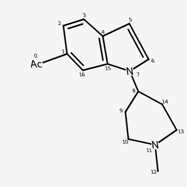 CC(=O)c1ccc2ccn(C3CCN(C)CC3)c2c1